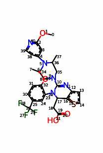 COc1cc(N2C(C)CN(C3=Nc4ccsc4C(CC(=O)O)N3c3cc(C(F)(F)F)ccc3OC)CC2C)ccn1